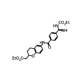 CCOC(=O)CC1CCc2cc(NC(=O)c3ccc(C(=N)NC(=O)OCC)cc3)ccc2O1